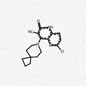 N#Cc1c(N2CCC3(CCC3)CC2)c2nc(Cl)ccc2[nH]c1=O